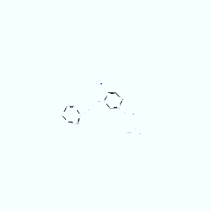 N#Cc1ccc(N2CCNCC2)cc1CNc1ccccc1